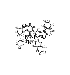 c1ccc(C2=NC(c3ccc4ccccc4c3)NC(c3c(-c4ccc5oc6ccc7ccccc7c6c5c4)ccc4oc5ccccc5c34)=N2)cc1